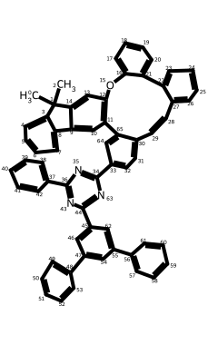 CC1(C)c2ccccc2-c2cc3c(cc21)Oc1ccccc1-c1ccccc1/C=C\c1ccc(-c2nc(-c4ccccc4)nc(-c4cc(-c5ccccc5)cc(-c5ccccc5)c4)n2)cc1-3